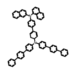 C1=CC(N(c2ccc(-c3ccc(-c4ccccc4)cc3)cc2)c2ccc(-c3ccc(-c4ccccc4)cc3)cc2)CC=C1c1ccc(N(c2ccc3ccccc3c2)c2cccc3ccccc23)cc1